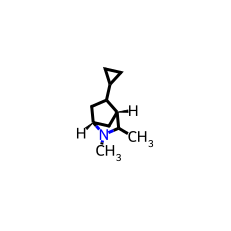 CC1[C@@H]2C[C@@H](CC2C2CC2)N1C